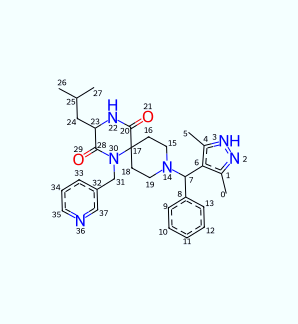 Cc1n[nH]c(C)c1C(c1ccccc1)N1CCC2(CC1)C(=O)NC(CC(C)C)C(=O)N2Cc1cccnc1